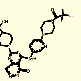 CC(C)(O)C(=O)N1CCN(c2ccc([AsH]c3nc(N4CCC(CC#N)CC4)nc4cn[nH]c(=O)c34)cn2)CC1